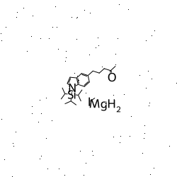 CC(=O)CCCc1ccc2c(ccn2[Si](C(C)C)(C(C)C)C(C)C)c1.CI.[MgH2]